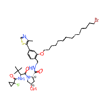 Cc1ncsc1-c1ccc(CNC(=O)[C@@H]2C[C@@H](O)CN2C(=O)C(NC(=O)C2(F)CC2)C(C)(C)C)c(OCCCCCCCCCCCCCCBr)c1